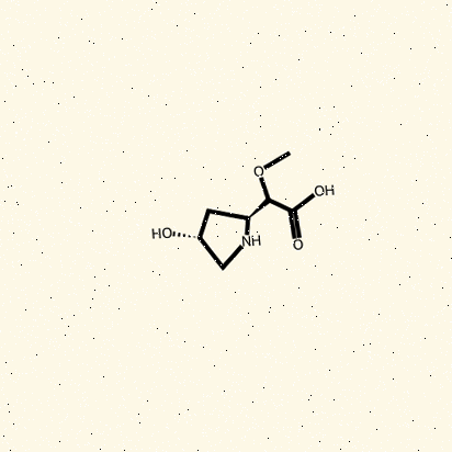 COC(C(=O)O)[C@@H]1C[C@@H](O)CN1